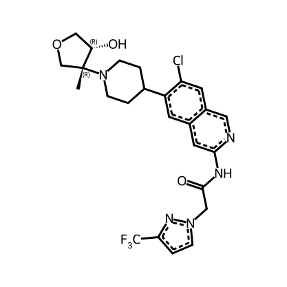 C[C@@]1(N2CCC(c3cc4cc(NC(=O)Cn5ccc(C(F)(F)F)n5)ncc4cc3Cl)CC2)COC[C@@H]1O